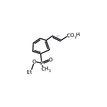 CCOP(C)(=O)c1cccc(/C=C/C(=O)O)c1